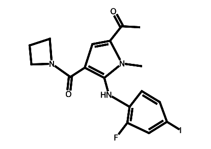 CC(=O)c1cc(C(=O)N2CCC2)c(Nc2ccc(I)cc2F)n1C